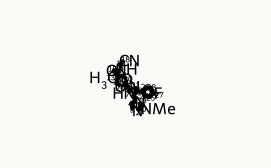 CNc1nccc(-c2[nH]c(C3OCC(C)(C(=O)NCC#N)CO3)nc2-c2ccc(F)cc2)n1